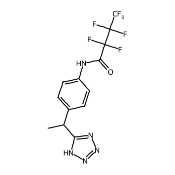 CC(c1ccc(NC(=O)C(F)(F)C(F)(F)C(F)(F)F)cc1)c1nnn[nH]1